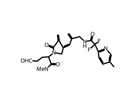 C=C(/C=C1/CN(C(CCC=O)C(=O)NC)C(=O)C1=C)CNC(=O)C(F)(F)c1ccc(C)cn1